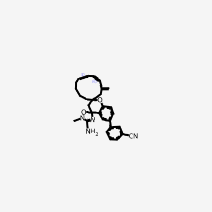 C=C1/C=C\C=C/CCCCC2(C1)CC1(N=C(N)N(C)O1)c1cc(-c3cccc(C#N)c3)ccc1O2